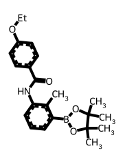 CCOc1ccc(C(=O)Nc2cccc(B3OC(C)(C)C(C)(C)O3)c2C)cc1